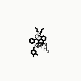 CCCN(CCC)C(=O)c1cccc(C(N)=O)c1[C@H](Cc1ccccc1)[C@@H](O)CNCc1ccc(C)c(C)c1